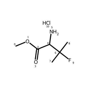 COC(=O)C(N)C(C)(C)F.Cl